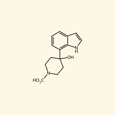 O=C(O)N1CCC(O)(c2cccc3cc[nH]c23)CC1